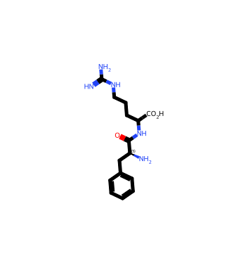 N=C(N)NCCCC(NC(=O)[C@@H](N)Cc1ccccc1)C(=O)O